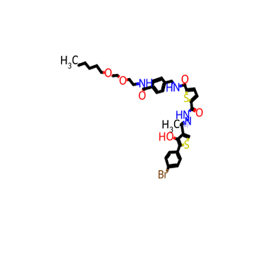 CCCCCCOCCOCCNC(=O)c1ccc(CNC(=O)c2ccc(C(=O)N/N=C(\C)c3csc(-c4ccc(Br)cc4)c3O)s2)cc1